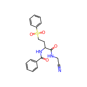 N#CCNC(=O)C(CCS(=O)(=O)c1ccccc1)NC(=O)c1ccccc1